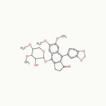 COc1cc2c(OC3OCC(OC)C(OC)C3O)c3c(c(-c4ccc5c(c4)OCO5)c2cc1OC)C(=O)CC3